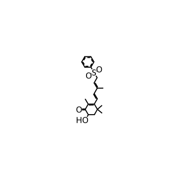 CC1=C(/C=C/C(C)=C/CS(=O)(=O)c2ccccc2)C(C)(C)CC(O)C1=O